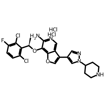 C[C@@H](Oc1c(N)ncc2c(-c3cnn(C4CCNCC4)c3)coc12)c1c(Cl)ccc(F)c1Cl.Cl.Cl